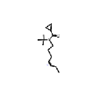 CC/C=C\CCCN(C(=O)C1CC1)C(C)(C)C